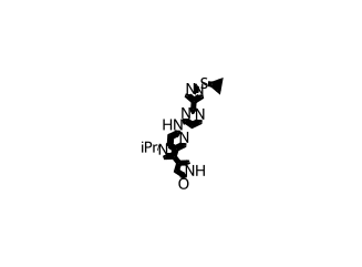 CC(C)n1cc(C2CNC(=O)C2)c2cnc(Nc3ccnc(-c4cnn(SC5CC5)c4)n3)cc21